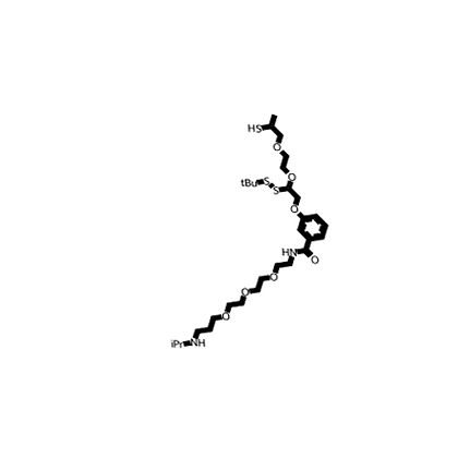 CC(S)COCCOC(COc1cccc(C(=O)NCCOCCOCCOCCCNC(C)C)c1)SSC(C)(C)C